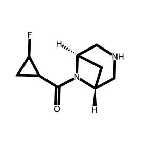 O=C(C1CC1F)N1[C@H]2CNC[C@H]1C2